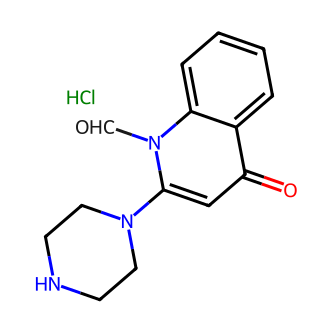 Cl.O=Cn1c(N2CCNCC2)cc(=O)c2ccccc21